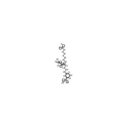 COC(=O)CCCCCCCN(CCCCc1cccc(C(=O)OC)c1)C(=O)OC(C)(C)C